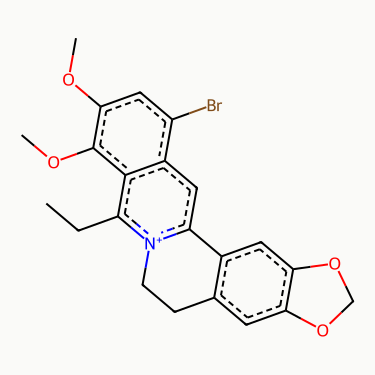 CCc1c2c(OC)c(OC)cc(Br)c2cc2[n+]1CCc1cc3c(cc1-2)OCO3